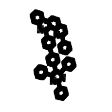 c1ccc(-c2ccc3ccc4c5ccccc5nc(-c5ccc(-c6ccc(-c7c(-c8ccccc8)nc(-c8ccccc8)nc7-c7ccccc7)cc6)cc5)c4c3n2)cc1